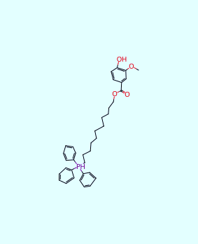 COc1cc(C(=O)OCCCCCCCCCCC[PH](c2ccccc2)(c2ccccc2)c2ccccc2)ccc1O